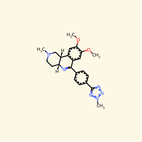 COc1cc2c(cc1OC)[C@H]1CN(C)CC[C@H]1N=C2c1ccc(-c2nnn(C)n2)cc1